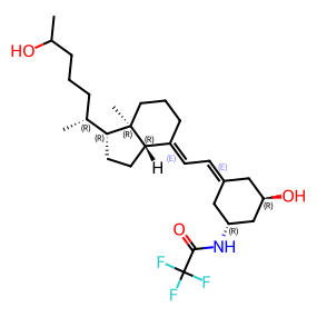 CC(O)CCC[C@@H](C)[C@H]1CC[C@H]2/C(=C/C=C3/C[C@@H](O)C[C@H](NC(=O)C(F)(F)F)C3)CCC[C@]12C